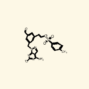 Cc1ccc(S(=O)(=O)OCCc2cc(C=O)cc(Cn3ncc4c(N)nc(Cl)nc43)c2)cc1